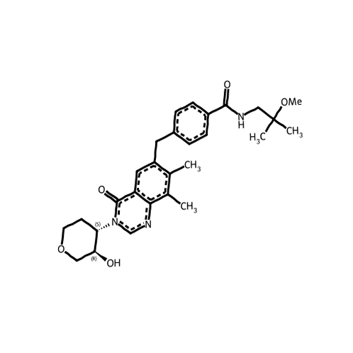 COC(C)(C)CNC(=O)c1ccc(Cc2cc3c(=O)n([C@H]4CCOC[C@@H]4O)cnc3c(C)c2C)cc1